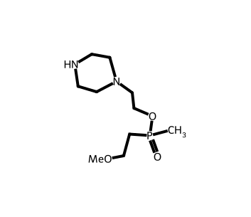 COCCP(C)(=O)OCCN1CCNCC1